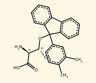 Cc1ccc(C2(O[C@H](C)[C@H](N)C(=O)O)c3ccccc3-c3ccccc32)cc1C